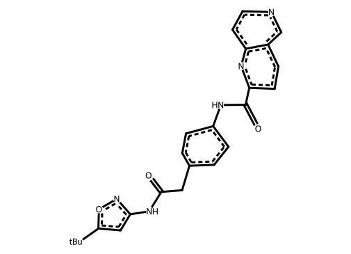 CC(C)(C)c1cc(NC(=O)Cc2ccc(NC(=O)c3ccc4cnccc4n3)cc2)no1